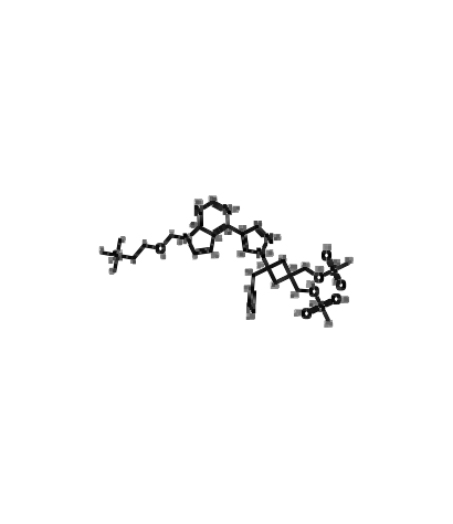 C[Si](C)(C)CCOCn1ccc2c(-c3cnn(C4(CC#N)CC(COS(C)(=O)=O)(COS(C)(=O)=O)C4)c3)ncnc21